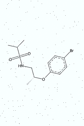 CC(C)S(=O)(=O)NC[C@@H](C)Oc1ccc(Br)cc1